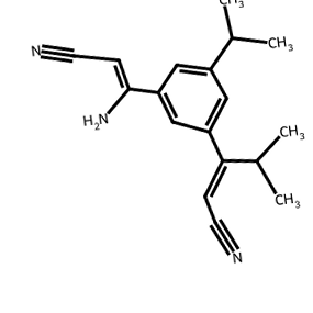 CC(C)/C(=C\C#N)c1cc(/C(N)=C/C#N)cc(C(C)C)c1